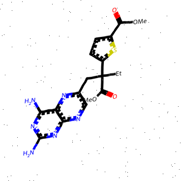 CCC(Cc1cnc2nc(N)nc(N)c2n1)(C(=O)OC)c1ccc(C(=O)OC)s1